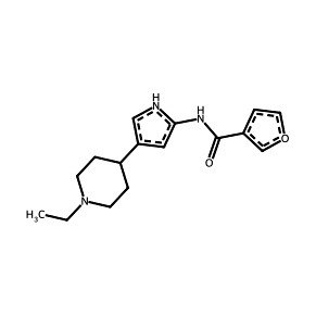 CCN1CCC(c2c[nH]c(NC(=O)c3ccoc3)c2)CC1